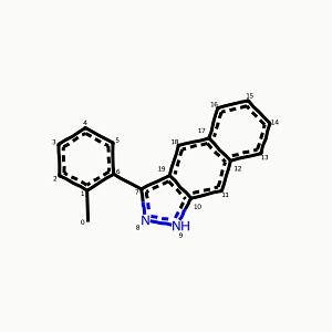 Cc1ccccc1-c1n[nH]c2cc3ccccc3cc12